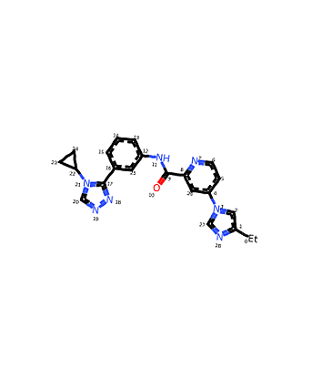 CCc1cn(-c2ccnc(C(=O)Nc3cccc(-c4nncn4C4CC4)c3)c2)cn1